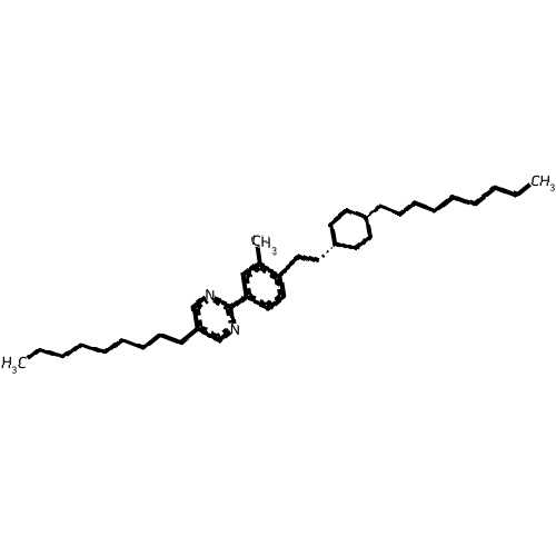 CCCCCCCCCc1cnc(-c2ccc(CC[C@H]3CC[C@H](CCCCCCCCC)CC3)c(C)c2)nc1